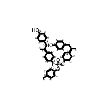 CC(Cc1ccc(O)cc1)=C1C=CC(OP(=O)(OC2=CCC(=C(C)Cc3ccc(O)cc3)C=C2)Oc2ccc(C)cc2)=CC1